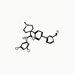 CN1CCC(C(=O)Nc2cc(Cl)cc(Cl)c2)(c2ccc(-c3cccc(C#N)c3)cc2)CC1